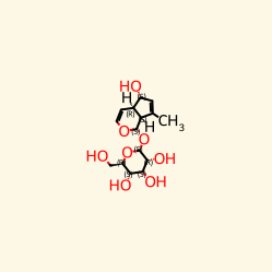 CC1=C[C@@H](O)[C@@H]2C=CO[C@@H](O[C@@H]3O[C@H](CO)[C@@H](O)[C@H](O)[C@H]3O)[C@H]12